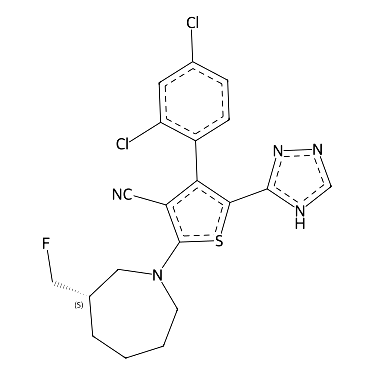 N#Cc1c(N2CCCC[C@H](CF)C2)sc(-c2nnc[nH]2)c1-c1ccc(Cl)cc1Cl